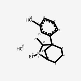 CCN1C2CCCC(c3cccc(O)c3)(C2)C1C.Cl